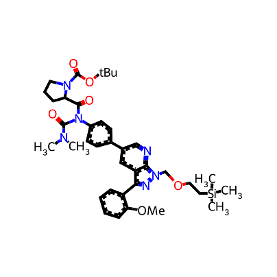 COc1ccccc1-c1nn(COCC[Si](C)(C)C)c2ncc(-c3ccc(N(C(=O)C4CCCN4C(=O)OC(C)(C)C)C(=O)N(C)C)cc3)cc12